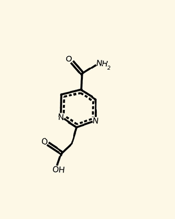 NC(=O)c1cnc(CC(=O)O)nc1